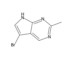 Cc1ncc2c(Br)c[nH]c2n1